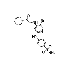 NS(=O)(=O)c1ccc(Nc2ncc(Br)c(NCC(=O)c3ccccc3)n2)cc1